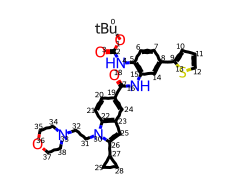 CC(C)(C)OC(=O)Nc1ccc(-c2cccs2)cc1NC(=O)c1ccc2c(c1)cc(C1CC1)n2CCN1CCOCC1